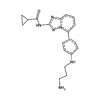 NCCCNc1ccc(-c2cccc3nc(NC(=O)C4CC4)nn23)cc1